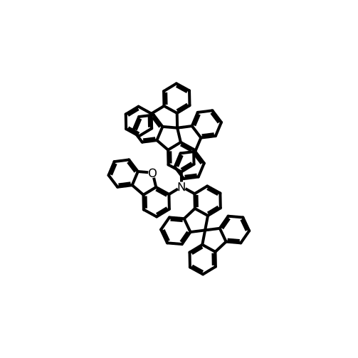 c1ccc(-c2ccccc2C2(c3ccccc3-c3ccccc3)c3ccccc3-c3cc(N(c4cccc5c4-c4ccccc4C54c5ccccc5-c5ccccc54)c4cccc5c4oc4ccccc45)ccc32)cc1